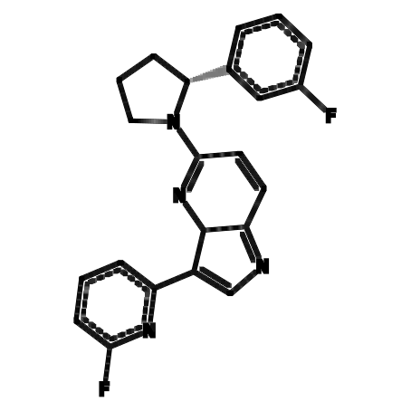 Fc1cccc([C@H]2CCCN2C2=NC3C(c4cccc(F)n4)=CN=C3C=C2)c1